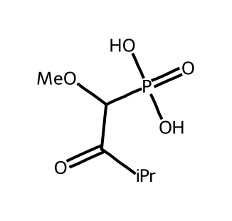 COC(C(=O)C(C)C)P(=O)(O)O